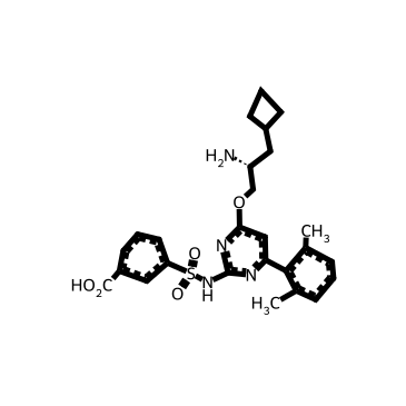 Cc1cccc(C)c1-c1cc(OC[C@H](N)CC2CCC2)nc(NS(=O)(=O)c2cccc(C(=O)O)c2)n1